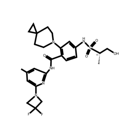 Cc1cc(NC(=O)c2ccc(NS(=O)(=O)[C@@H](C)CO)cc2N2CCC3(CC2)CC3)nc(N2CC(F)(F)C2)c1